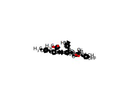 COc1ccc(CCN2CCN(C3CC4(C3)CN(c3ccc(C(=O)NS(=O)(=O)c5ccc(NCC6CCC(C)(O)CC6)c([N+](=O)[O-])c5)c(Oc5cnc6[nH]ccc6c5)c3)C4)C(c3ccccc3C(C)C)C2)cc1